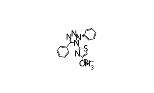 Cc1csc(-n2c(-c3ccccc3)nn[n+]2-c2ccccc2)n1.[Br-]